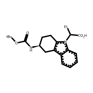 CCC(C(=O)O)n1c2c(c3ccccc31)C[C@@H](NC(=O)OC(C)(C)C)CC2